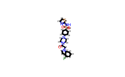 O=C(Cn1ccc2c(F)cccc21)N1CCN(c2ccc(S(=O)(=O)Nc3nccs3)cc2)CC1